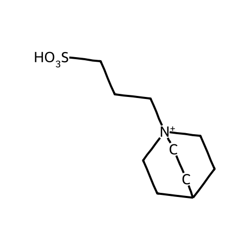 O=S(=O)(O)CCC[N+]12CCC(CC1)CC2